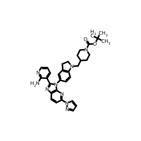 CC(C)(C)OC(=O)N1CCC(CN2CCc3cc(-n4c(-c5cccnc5N)nc5ccc(-n6cccn6)nc54)ccc32)CC1